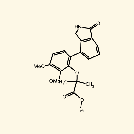 COc1ccc(-c2cccc3c2CNC3=O)c(OC(C)(C)C(=O)OC(C)C)c1OC